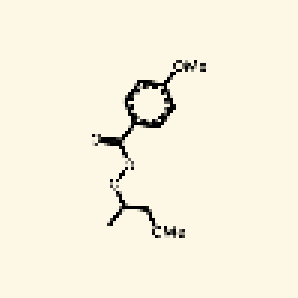 COC[C](C)OOC(=O)c1ccc(OC)cc1